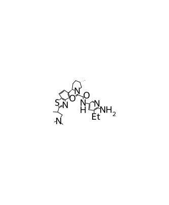 CCc1cc(NC(=O)C(=O)N2C[C@@H](C)CC[C@@H]2c2ccc3sc(C(C)CN(C)C)nc3c2)cnc1N